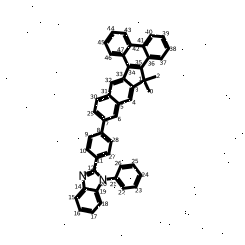 CC1(C)c2cc3cc(-c4ccc(-c5nc6ccccc6n5-c5ccccc5)cc4)ccc3cc2-c2c1c1ccccc1c1ccccc21